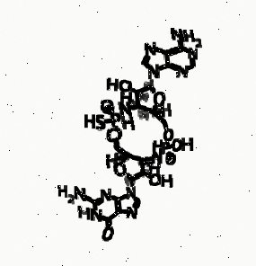 Nc1nc2c(ncn2[C@@H]2O[C@@H]3COP(=O)(S)N[C@H]4[C@@H](O)[C@H](n5cnc6c(N)ncnc65)O[C@@H]4COP(=O)(O)N[C@H]3[C@H]2O)c(=O)[nH]1